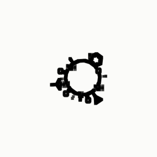 CC(C)C[C@H]1NC(=O)[C@@H](C)N(C)C(=O)[C@H](C2CC2)NC[C@@H](C)Oc2cccnc2CC[C@H](C)NC1=O